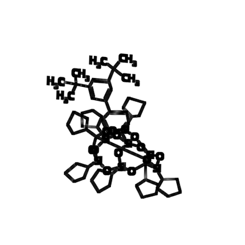 CC(C)(C)c1cc(-c2ccc([Si]34O[Si]5(C6CCCC6)OC6(C7CCCC7)[Si]7(O3)O[Si]3(C8CCCC8)OC(C8CCCC8)(O[Si](C8CCCC8)(O5)O[Si](C5CCCC5)(O4)O3)O[Si]6(C3CCCC3)O7)cc2)cc(C(C)(C)C)c1